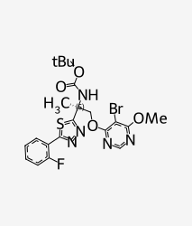 COc1ncnc(OC[C@](C)(NC(=O)OC(C)(C)C)c2nnc(-c3ccccc3F)s2)c1Br